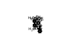 COc1ccc(-c2ccc(OC)c(CN(C(=O)c3sc4ccccc4c3Cl)C3CCC(N(CC(C)(C)C)C(=O)O)CC3)c2)cc1